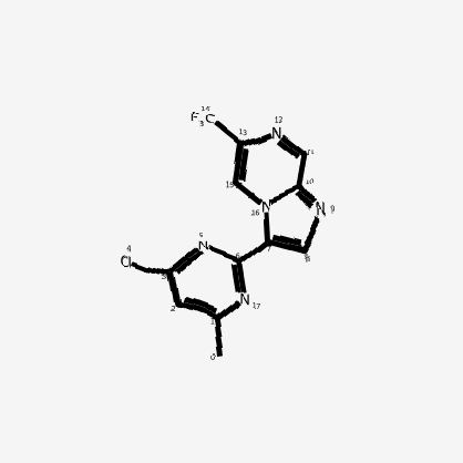 Cc1cc(Cl)nc(-c2cnc3cnc(C(F)(F)F)cn23)n1